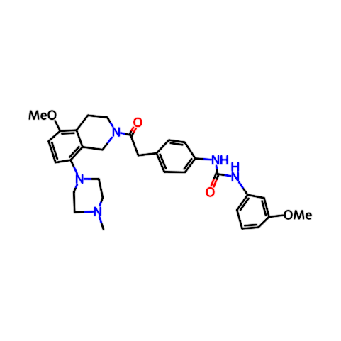 COc1cccc(NC(=O)Nc2ccc(CC(=O)N3CCc4c(OC)ccc(N5CCN(C)CC5)c4C3)cc2)c1